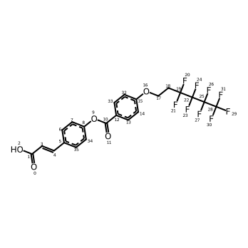 O=C(O)C=Cc1ccc(OC(=O)c2ccc(OCCC(F)(F)C(F)(F)C(F)(F)C(F)(F)F)cc2)cc1